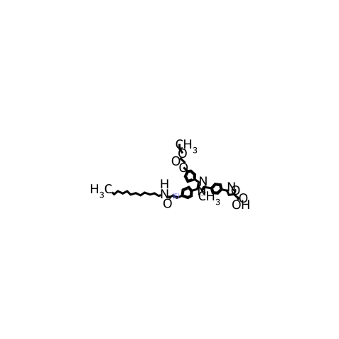 CCCCCCCCCCCCNC(=O)/C=C/c1ccc(-c2c(-c3ccc(OCC(=O)OCC)cc3)nc(-c3ccc(C4=NOC(C(=O)O)C4)cc3)n2C)cc1